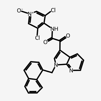 O=C(Nc1c(Cl)c[n+]([O-])cc1Cl)C(=O)c1cn(Cc2cccc3ccccc23)c2ncccc12